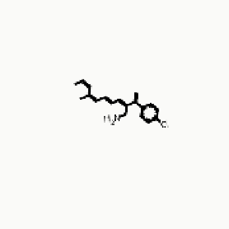 C=C(/C(=C/C=C/C=C(C)\C=C/C)CN)c1ccc(Cl)cc1